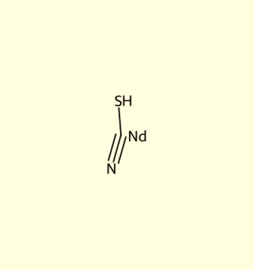 N#CS.[Nd]